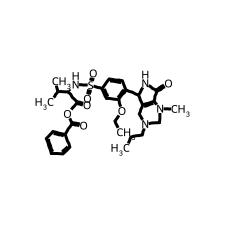 CCCN1CC2=C(C(=O)NC2c2ccc(S(=O)(=O)N[C@H](C(=O)OC(=O)c3ccccc3)C(C)C)cc2OCC)N(C)C1